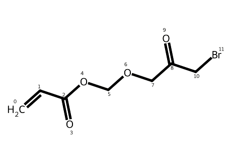 C=CC(=O)OCOCC(=O)CBr